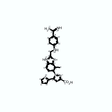 Cc1c(-n2nc(C(=O)O)cc2-c2cccs2)ccc2[nH]c(CNc3ccc(C(=N)N)cc3)nc12